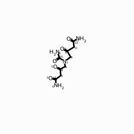 NC(=O)CC(=O)CN(CC(=O)CC(N)=O)C(N)=O